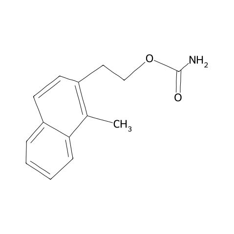 Cc1c(CCOC(N)=O)ccc2ccccc12